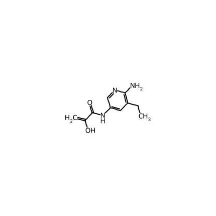 C=C(O)C(=O)Nc1cnc(N)c(CC)c1